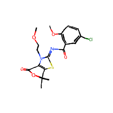 COCCn1c2c(s/c1=N\C(=O)c1cc(Cl)ccc1OC)C(C)(C)OC2=O